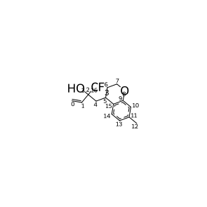 C=CC(O)(CC1CCOc2cc(C)ccc21)C(F)(F)F